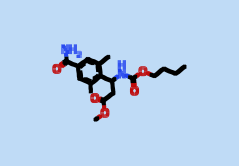 CCCCOC(=O)NC(CC(=O)OC)c1c(C)cc(C(N)=O)cc1C